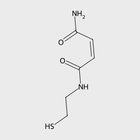 NC(=O)/C=C\C(=O)NCCS